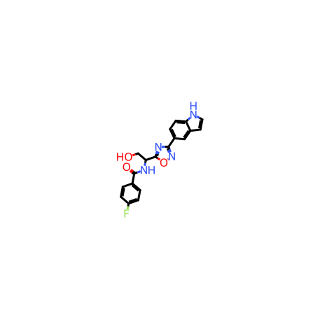 O=C(NC(CO)c1nc(-c2ccc3[nH]ccc3c2)no1)c1ccc(F)cc1